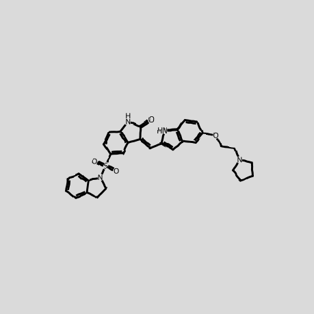 O=C1Nc2ccc(S(=O)(=O)N3CCc4ccccc43)cc2C1=Cc1cc2cc(OCCN3CCCC3)ccc2[nH]1